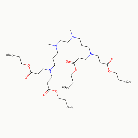 CCCCCCCCCCCCOC(=O)CCN(CCCN(C)CCN(C)CCCN(CCC(=O)OCCCCCCCCCCCC)CCC(=O)OCCCCCCCCCCCC)CCC(=O)OCCCCCCCCCCCC